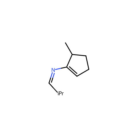 CC(C)/C=N\C1=CCCC1C